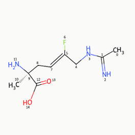 CC(=N)NC/C(F)=C/C[C@](C)(N)C(=O)O